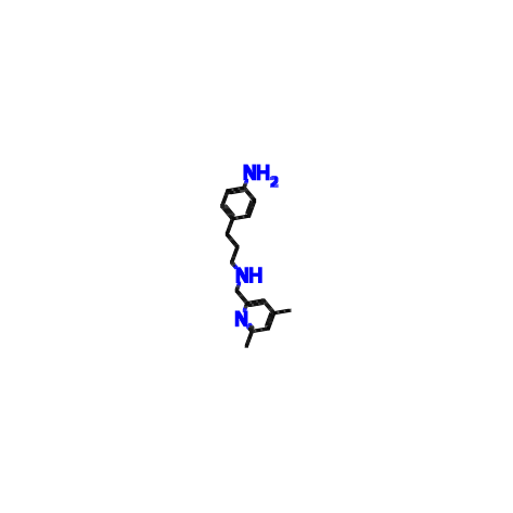 Cc1cc(C)nc(CNCCCc2ccc(N)cc2)c1